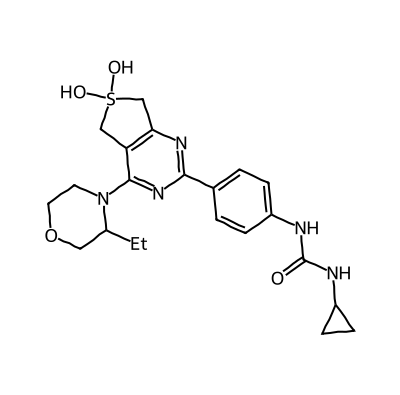 CCC1COCCN1c1nc(-c2ccc(NC(=O)NC3CC3)cc2)nc2c1CS(O)(O)C2